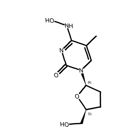 Cc1cn([C@H]2CC[C@@H](CO)O2)c(=O)nc1NO